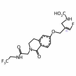 O=C(O)NC/C(=C\F)COc1ccc2c(c1)CCN(CC(=O)NCC(F)(F)F)C2=O